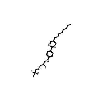 CCCCCCCCc1cnc(-c2ccc(OCC(F)COCC(F)(F)F)cc2)nc1